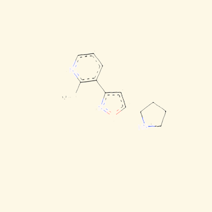 COc1ncccc1-c1cc([C@@H]2CCCN2)on1